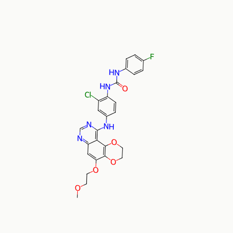 COCCOc1cc2ncnc(Nc3ccc(NC(=O)Nc4ccc(F)cc4)c(Cl)c3)c2c2c1OCCO2